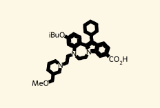 COCC1CCCN(CCN2CCn3c(c(C4CCCCC4)c4ccc(C(=O)O)cc43)-c3ccc(OCC(C)C)cc32)C1